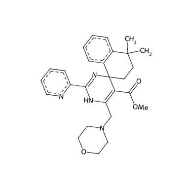 COC(=O)C1=C(CN2CCOCC2)NC(c2ccccn2)=NC12CCC(C)(C)c1ccccc12